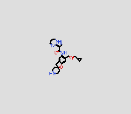 O=C(Nc1cc2c(cc1COCC1CC1)OC1(CCNCC1)C2)c1cnn2cccnc12